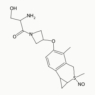 Cc1c(OC2CN(C(=O)C(N)CO)C2)ccc2c1CS(C)(N=O)C1CC21